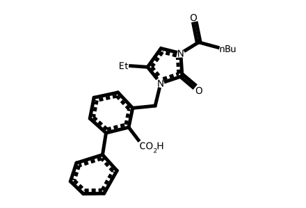 CCCCC(=O)n1cc(CC)n(Cc2cccc(-c3ccccc3)c2C(=O)O)c1=O